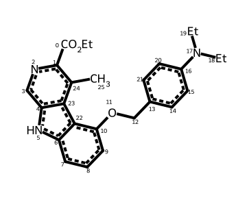 CCOC(=O)c1ncc2[nH]c3cccc(OCc4ccc(N(CC)CC)cc4)c3c2c1C